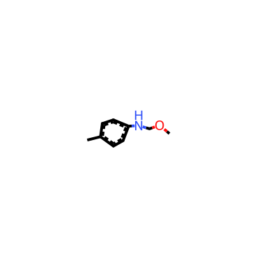 COCNc1ccc(C)cc1